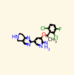 C[C@@H](Oc1cc(-c2ncc3c(n2)CCNC3)cnc1N)c1c(Cl)ccc(F)c1Cl